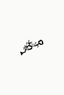 FC(F)(F)c1c(OCC(F)(F)c2ccccc2)ccn2c(CC3CC3)nnc12